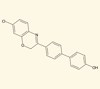 Oc1ccc(-c2ccc(C3=Nc4ccc(Cl)cc4OC3)cc2)cc1